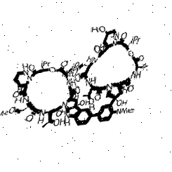 CNc1ccc(-c2ccc3c(c2)[C@]2(O)C[C@H]4C(=O)N[C@H](C(C)C)C(=O)O[C@@H](C(C)C)C(=O)N5NCCC[C@@H]5C(=O)N[C@@H](COC)C(=O)N[C@H]([C@H](C)O)C(=O)N4[C@@H]2N3)cc1[C@]1(O)C[C@H]2C(=O)N[C@H](C(C)C)C(=O)O[C@@H](C(C)C)C(=O)N3NC[C@H](O)C[C@@H]3C(=O)N[C@@H](COC)C(=O)N[C@H]([C@H](C)O)C(=O)N2C1